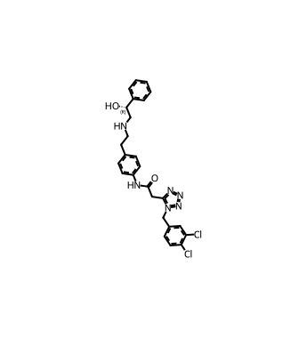 O=C(Cc1nnnn1Cc1ccc(Cl)c(Cl)c1)Nc1ccc(CCNC[C@H](O)c2ccccc2)cc1